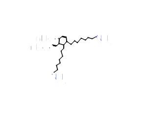 CCCCCC/C=C/C1C(CCCCCC)C=CC(CCCCCCCCN)C1CCCCCCCCN